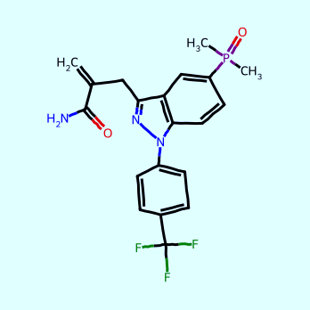 C=C(Cc1nn(-c2ccc(C(F)(F)F)cc2)c2ccc(P(C)(C)=O)cc12)C(N)=O